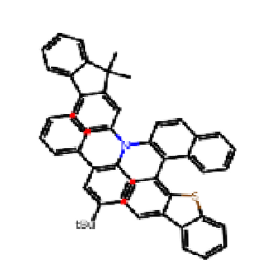 CC(C)(C)c1ccc(N(c2ccc3c(c2)C(C)(C)c2ccccc2-3)c2ccc3ccccc3c2-c2cccc3c2sc2ccccc23)c(-c2ccccc2)c1